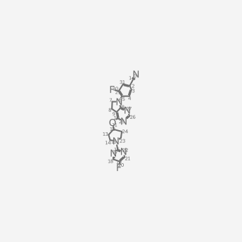 N#Cc1ccc(N2CCc3c(OC4CCN(c5ncc(F)cn5)CC4)ncnc32)c(F)c1